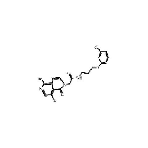 O=C(Cn1cnc2c(Br)ncc(Br)c2c1=O)NCCCOc1cccc(Cl)c1